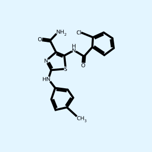 Cc1ccc(Nc2nc(C(N)=O)c(NC(=O)c3ccccc3Cl)s2)cc1